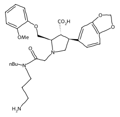 CCCCN(CCCN)C(=O)CN1C[C@H](c2ccc3c(c2)OCO3)[C@@H](C(=O)O)[C@@H]1COc1ccccc1OC